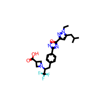 CCn1nc(-c2nc(-c3ccc(CC(N4CC(C(=O)O)C4)C(F)(F)F)cc3)no2)cc1CC(C)C